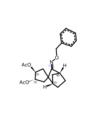 CC(=O)O[C@H]1CC2(C[C@@H]1OC(C)=O)/C(=N/OCc1ccccc1)[C@@H]1CC[C@H]2C1